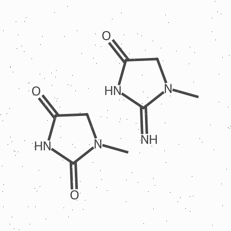 CN1CC(=O)NC1=N.CN1CC(=O)NC1=O